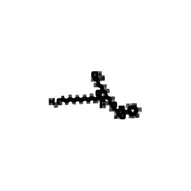 CCCCCCCCCCCC(=O)N[C@@H](CCCCCCC)CCOC[C@@H]1COC(c2ccccc2)=N1